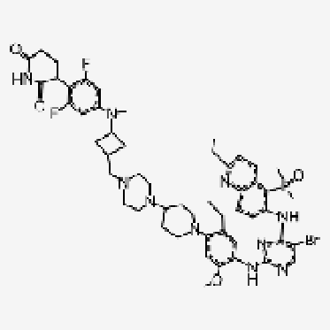 CCc1ccc2c(P(C)(C)=O)c(Nc3nc(Nc4cc(CC)c(N5CCC(N6CCN(CC7CC(N(C)c8cc(F)c(C9CCC(=O)NC9=O)c(F)c8)C7)CC6)CC5)cc4OC)ncc3Br)ccc2n1